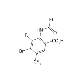 CCC(=O)Nc1c(C(=O)O)cc(C(F)(F)F)c(Br)c1F